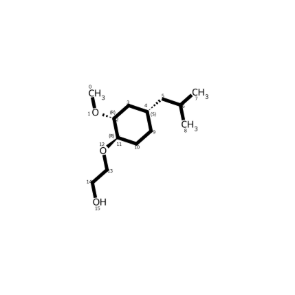 CO[C@@H]1C[C@H](CC(C)C)CC[C@H]1OCCO